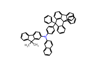 CC1(C)c2ccccc2-c2ccc(N(c3ccc(C4(c5ccccc5)c5ccccc5C5(c6ccccc6)c6ccccc6-c6cccc4c65)cc3)c3ccc4ccccc4c3)cc21